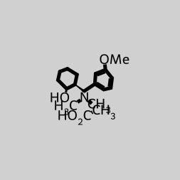 CC(=O)O.COc1cccc(C([C@@H]2CCCC[C@@H]2O)N(C)C)c1